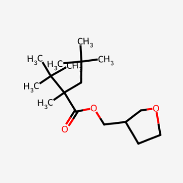 CC(C)(C)CC(C)(C(=O)OCC1CCOC1)C(C)(C)C